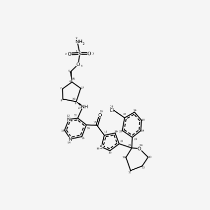 NS(=O)(=O)OC[C@@H]1CC[C@H](Nc2ncncc2C(=O)c2cc(C3(c4cccc(Cl)c4)CCCCO3)cs2)C1